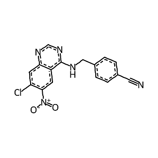 N#Cc1ccc(CNc2ncnc3cc(Cl)c([N+](=O)[O-])cc23)cc1